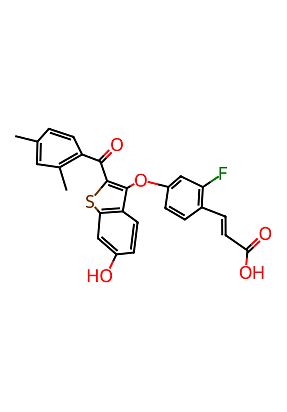 Cc1ccc(C(=O)c2sc3cc(O)ccc3c2Oc2ccc(/C=C/C(=O)O)c(F)c2)c(C)c1